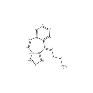 NCCC=C1c2ccccc2C=Cn2cccc21